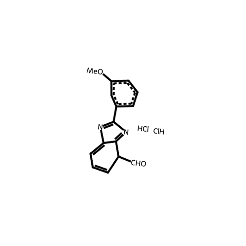 COc1cccc(C2=NC3=CC=CC(C=O)C3=N2)c1.Cl.Cl